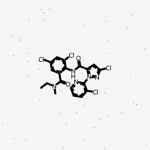 CCN(C)C(=O)c1cc(Cl)cc(Cl)c1NC(=O)c1cc(Cl)nn1-c1ncccc1Cl